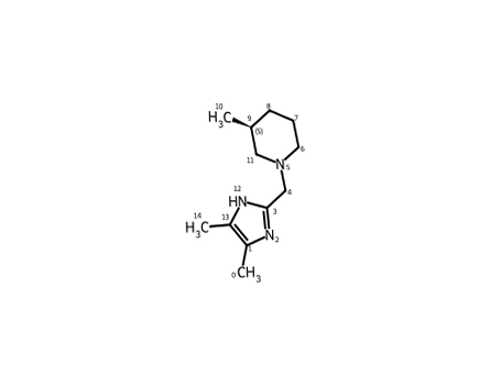 Cc1nc(CN2CCC[C@H](C)C2)[nH]c1C